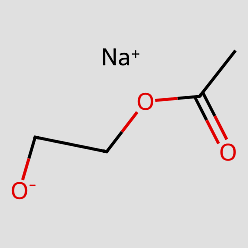 CC(=O)OCC[O-].[Na+]